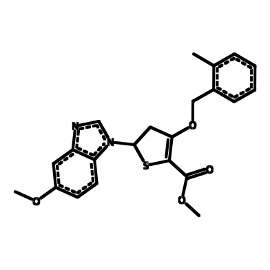 COC(=O)C1=C(OCc2ccccc2C)CC(n2cnc3cc(OC)ccc32)S1